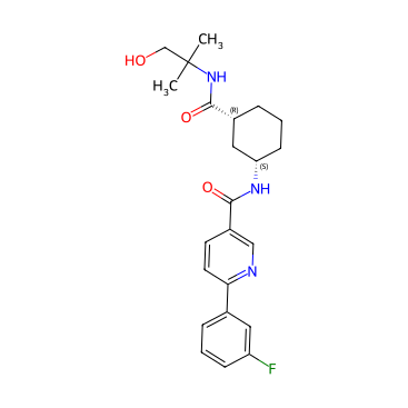 CC(C)(CO)NC(=O)[C@@H]1CCC[C@H](NC(=O)c2ccc(-c3cccc(F)c3)nc2)C1